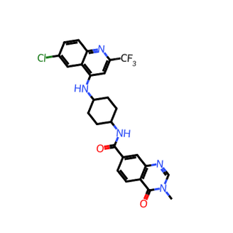 Cn1cnc2cc(C(=O)NC3CCC(Nc4cc(C(F)(F)F)nc5ccc(Cl)cc45)CC3)ccc2c1=O